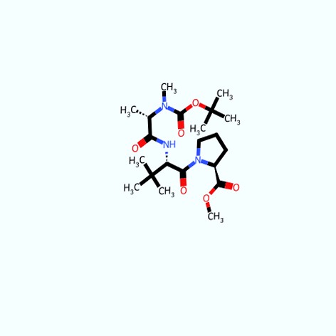 COC(=O)[C@@H]1CCCN1C(=O)[C@@H](NC(=O)[C@H](C)N(C)C(=O)OC(C)(C)C)C(C)(C)C